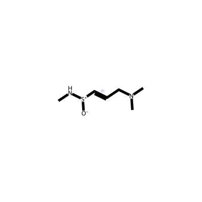 CN[S+]([O-])/C=C/CN(C)C